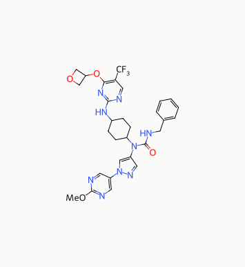 COc1ncc(-n2cc(N(C(=O)NCc3ccccc3)C3CCC(Nc4ncc(C(F)(F)F)c(OC5COC5)n4)CC3)cn2)cn1